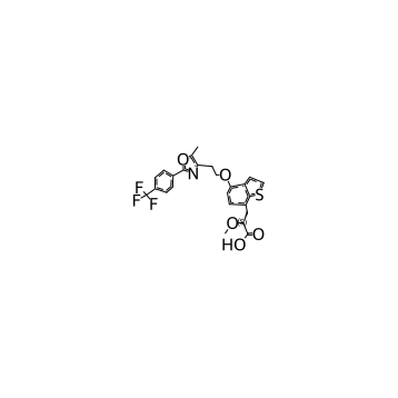 CO[C@@H](Cc1ccc(OCCc2nc(-c3ccc(C(F)(F)F)cc3)oc2C)c2ccsc12)C(=O)O